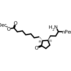 CCCCCCCCCCOC(=O)CCCCCC[C@H]1C(=O)CC[C@@H]1CCC(N)CCCCC